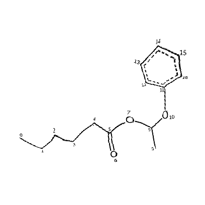 CCCC[CH]C(=O)OC(C)Oc1ccccc1